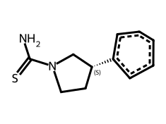 NC(=S)N1CC[C@@H](c2ccccc2)C1